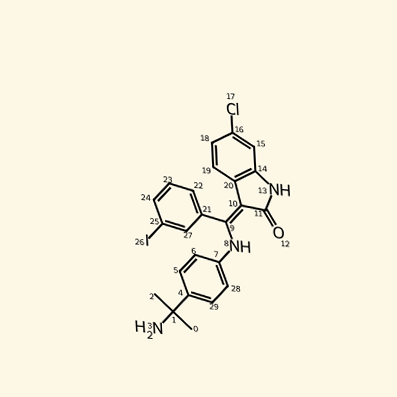 CC(C)(N)c1ccc(N/C(=C2\C(=O)Nc3cc(Cl)ccc32)c2cccc(I)c2)cc1